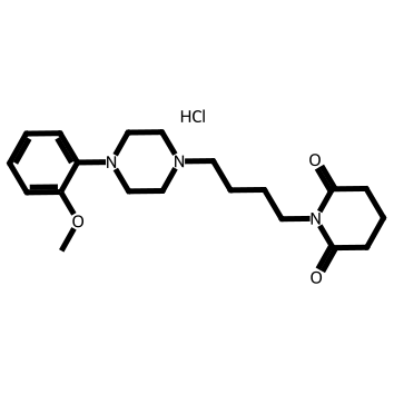 COc1ccccc1N1CCN(CCCCN2C(=O)CCCC2=O)CC1.Cl